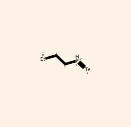 CCCC[PH2]=[Te]